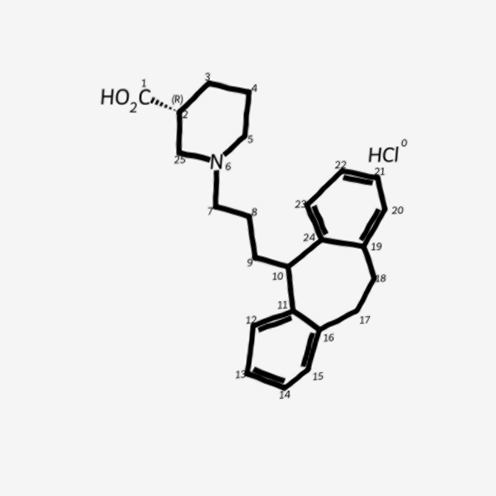 Cl.O=C(O)[C@@H]1CCCN(CCCC2c3ccccc3CCc3ccccc32)C1